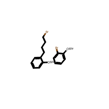 COc1ccccc1Br.COc1ccccc1CCCCBr